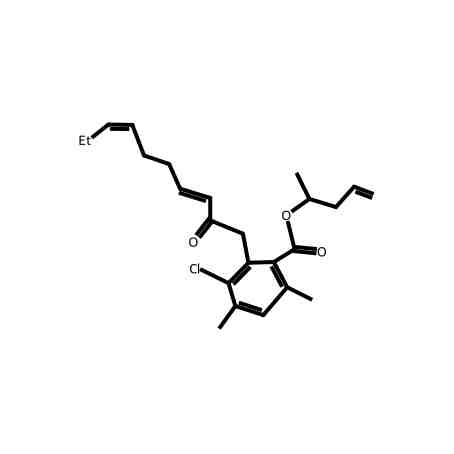 C=CCC(C)OC(=O)c1c(C)cc(C)c(Cl)c1CC(=O)/C=C/CC/C=C\CC